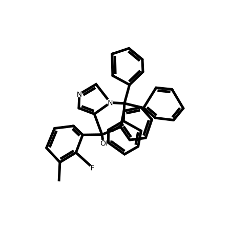 Cc1cccc(C(O)(c2ccccc2)c2cncn2C(c2ccccc2)(c2ccccc2)c2ccccc2)c1F